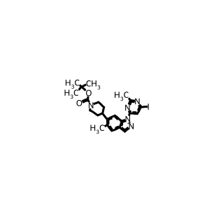 Cc1nc(I)cc(-n2ncc3cc(C)c(C4CCN(C(=O)OC(C)(C)C)CC4)cc32)n1